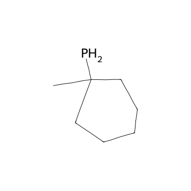 CC1(P)CCCCC1